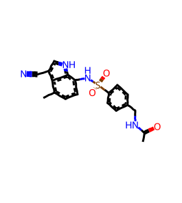 CC(=O)NCc1ccc(S(=O)(=O)Nc2ccc(C)c3c(C#N)c[nH]c23)cc1